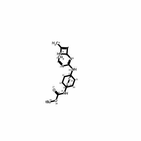 C/C=N\C(=N/C1C=C(C)N1)NC12CCC(NC(=O)OC(C)(C)C)(CC1)CC2